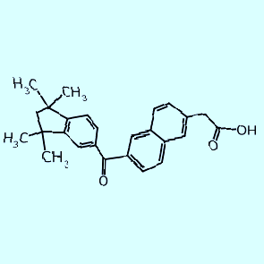 CC1(C)CC(C)(C)c2cc(C(=O)c3ccc4cc(CC(=O)O)ccc4c3)ccc21